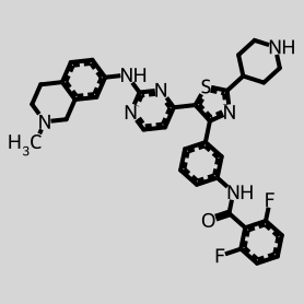 CN1CCc2ccc(Nc3nccc(-c4sc(C5CCNCC5)nc4-c4cccc(NC(=O)c5c(F)cccc5F)c4)n3)cc2C1